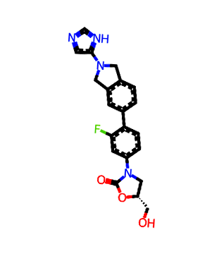 O=C1O[C@@H](CO)CN1c1ccc(-c2ccc3c(c2)CN(c2cnc[nH]2)C3)c(F)c1